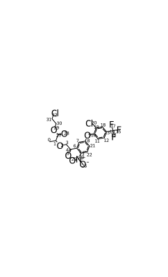 CC(OCC(=O)c1cc(Oc2ccc(C(F)(F)F)cc2Cl)ccc1[N+](=O)[O-])C(=O)OCCCl